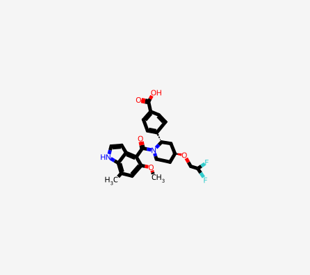 COc1cc(C)c2[nH]ccc2c1C(=O)N1CC[C@H](OCC(F)F)C[C@H]1c1ccc(C(=O)O)cc1